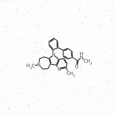 CNC(=O)c1ccc(-c2ccccc2-n2c3c(c4nc(C)ccc42)CCN(C)CC3)cc1